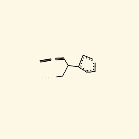 C=C=CC(CCCCCC)c1c[c]sc1